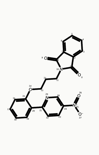 O=C1c2ccccc2C(=O)N1CCCOc1ccccc1-c1ccc([N+](=O)[O-])cn1